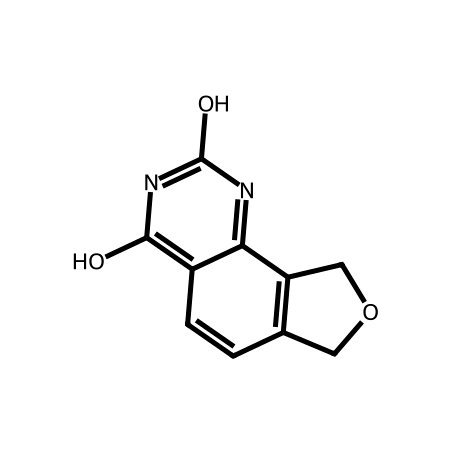 Oc1nc(O)c2ccc3c(c2n1)COC3